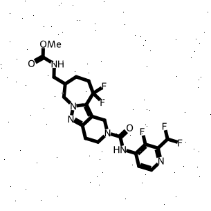 COC(=O)NCC1CCC(F)(F)c2c3c(nn2C1)CCN(C(=O)Nc1ccnc(C(F)F)c1F)C3